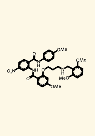 COc1ccc(NC(=O)c2ccc([N+](=O)[O-])cc2NC(=O)c2ccc(OC)cc2OCCCNCc2c(OC)cccc2OC)cc1